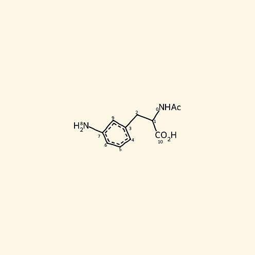 CC(=O)NC(Cc1cccc(N)c1)C(=O)O